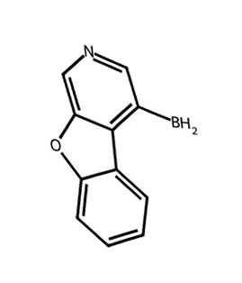 Bc1cncc2oc3ccccc3c12